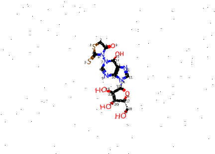 O=C1CSC(=S)N1N1C=Nc2c(ncn2[C@@H]2O[C@H](CO)C(O)C2O)C1O